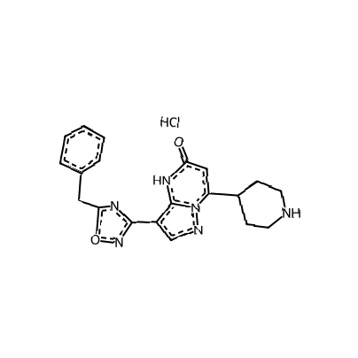 Cl.O=c1cc(C2CCNCC2)n2ncc(-c3noc(Cc4ccccc4)n3)c2[nH]1